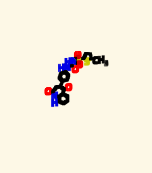 CC1CC=C(S(=O)(=O)NC(=O)Nc2ccc(-c3cc(=O)[nH]c4ccccc4c3=O)cc2)S1